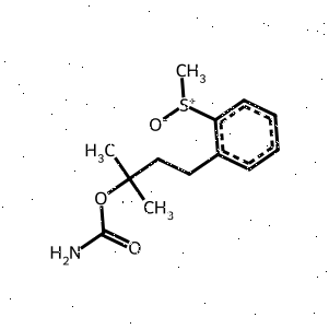 C[S+]([O-])c1ccccc1CCC(C)(C)OC(N)=O